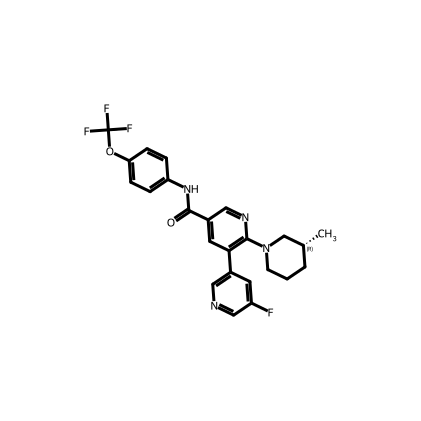 C[C@@H]1CCCN(c2ncc(C(=O)Nc3ccc(OC(F)(F)F)cc3)cc2-c2cncc(F)c2)C1